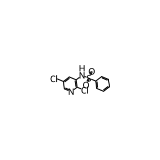 O=S(=O)(Nc1cc(Cl)cnc1Cl)c1ccccc1